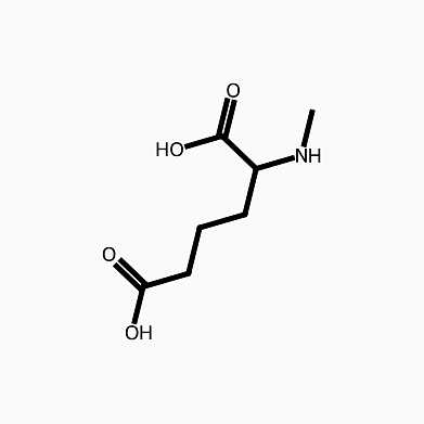 CNC(CCCC(=O)O)C(=O)O